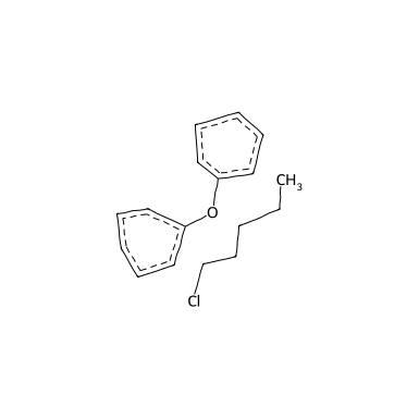 CCCCCCl.c1ccc(Oc2ccccc2)cc1